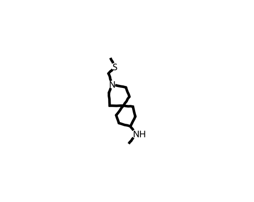 CNC1CCC2(CC1)CCN(CSC)CC2